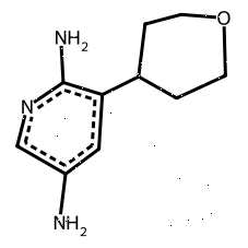 Nc1cnc(N)c(C2CCOCC2)c1